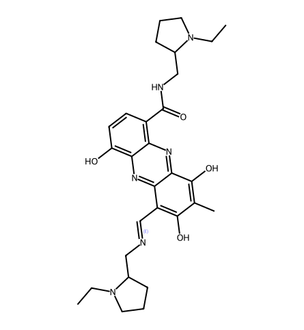 CCN1CCCC1C/N=C/c1c(O)c(C)c(O)c2nc3c(C(=O)NCC4CCCN4CC)ccc(O)c3nc12